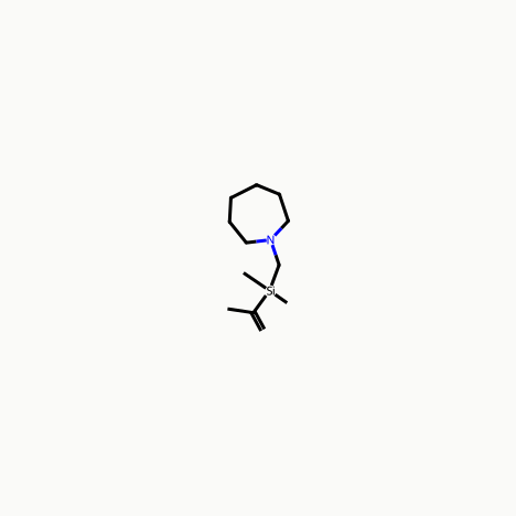 C=C(C)[Si](C)(C)CN1CCCCCC1